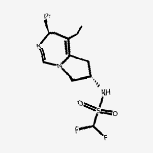 CC1=C2C[C@H](NS(=O)(=O)C(F)F)CN2C=N[C@H]1C(C)C